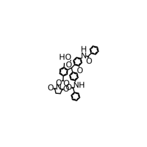 Cc1ccc(C(=O)ON2C(=O)CCC2=O)cc1C1(OCO)c2ccc(NC(=O)c3ccccc3)cc2Oc2cc(NC(=O)c3ccccc3)ccc21